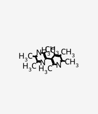 Cc1nc(C)c(-c2c(C)nc(C)c(C)c2C)nc1C